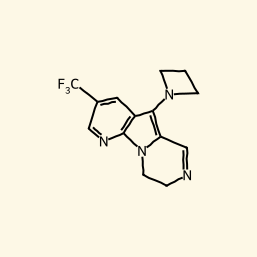 FC(F)(F)c1cnc2c(c1)c(N1CCC1)c1n2CCN=C1